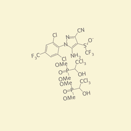 COP(=O)(OC)C(O)C(Cl)(Cl)Cl.COP(=O)(OC)C(O)C(Cl)(Cl)Cl.N#Cc1nn(-c2c(Cl)cc(C(F)(F)F)cc2Cl)c(N)c1[S+]([O-])C(F)(F)F